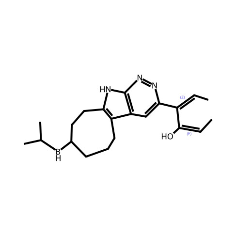 C/C=C(\C(O)=C/C)c1cc2c3c([nH]c2nn1)CCC(BC(C)C)CCC3